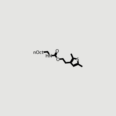 CCCCCCCCCNC(=O)OCCc1cc(C)sc1C